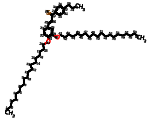 CCCCCCCCCCCCCCCCCCCCOc1ccc(C=CC(=S)c2ccc(CCC)cc2)cc1OCCCCCCCCCCCCCCCCCCCC